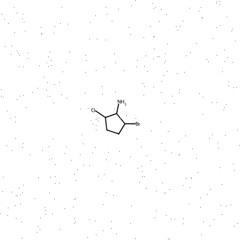 NC1C(Cl)CCC1Br